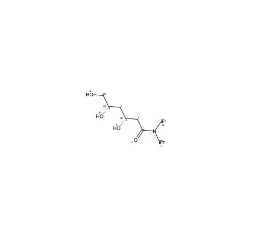 CC(C)N(C(=O)C[C@H](O)C[C@H](O)CO)C(C)C